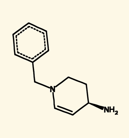 N[C@H]1C=CN(Cc2ccccc2)CC1